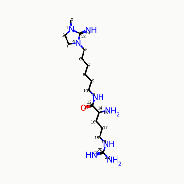 CN1CCN(CCCCCCNC(=O)C(N)CCCNC(=N)N)C1=N